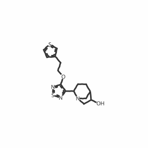 OC1CN2CC1CCC2c1nsnc1OCCc1ccsc1